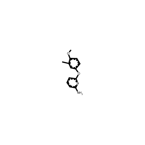 COc1ccc(Oc2cccc(N)n2)cc1C